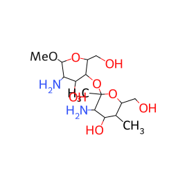 COC1OC(CO)C(OC2(C)OC(CO)C(C)C(O)C2N)C(O)C1N